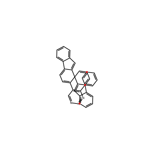 C1=CC2(C3=Cc4ccccc4C3=C1)C1=Cc3ccccc3C1=CC=C2c1cnnnc1-c1ccccc1